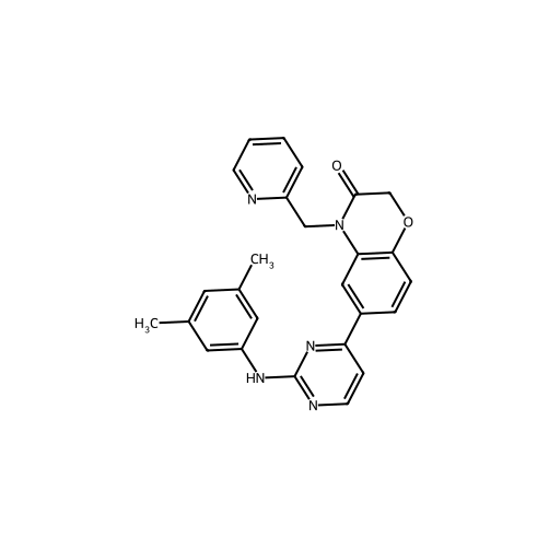 Cc1cc(C)cc(Nc2nccc(-c3ccc4c(c3)N(Cc3ccccn3)C(=O)CO4)n2)c1